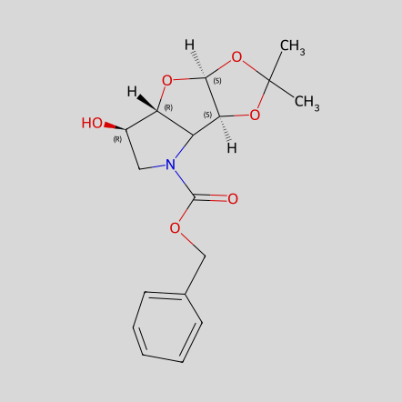 CC1(C)O[C@@H]2O[C@@H]3C([C@@H]2O1)N(C(=O)OCc1ccccc1)C[C@H]3O